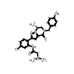 C[C@H]1CN(Cc2ccc(C#N)cc2)C(=O)c2cc(-c3ccc(Cl)cc3NC(=O)CN(C)C)nn21